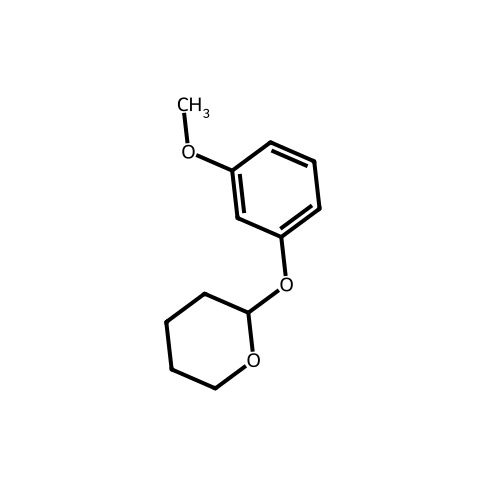 COc1cccc(OC2CCCCO2)c1